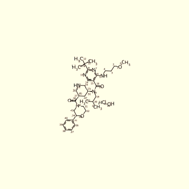 COCCCNc1nc(C(C)(C)C)ncc1C(=O)N(CC(C)C)[C@@H]1CNC[C@H](C(=O)N2CCOC(c3ccccc3)C2)C1.Cl.Cl